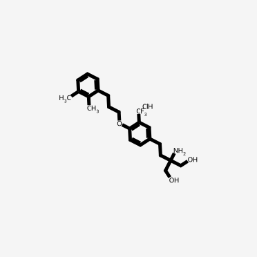 Cc1cccc(CCCOc2ccc(CCC(N)(CO)CO)cc2C(F)(F)F)c1C.Cl